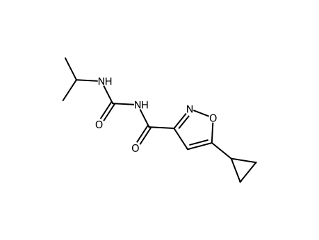 CC(C)NC(=O)NC(=O)c1cc(C2CC2)on1